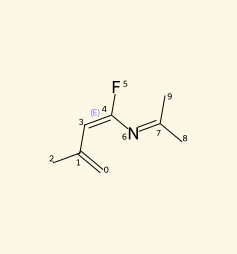 C=C(C)/C=C(/F)N=C(C)C